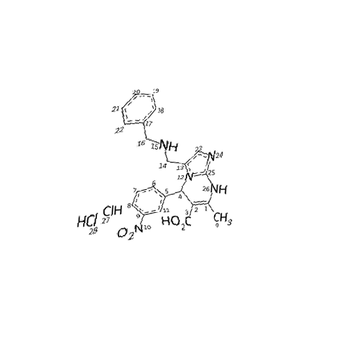 CC1=C(C(=O)O)C(c2cccc([N+](=O)[O-])c2)n2c(CNCc3ccccc3)cnc2N1.Cl.Cl